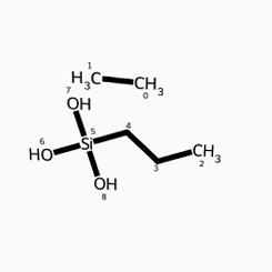 CC.CCC[Si](O)(O)O